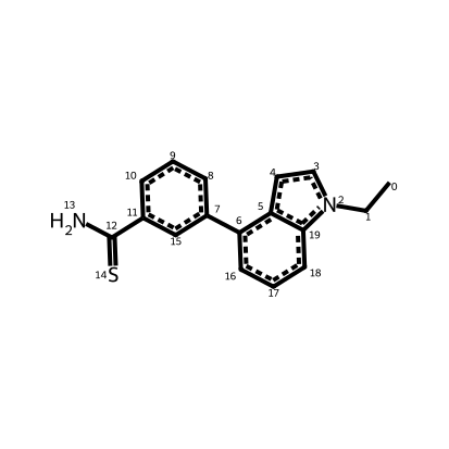 CCn1ccc2c(-c3cccc(C(N)=S)c3)cccc21